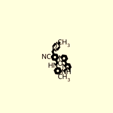 Cc1ccc(NC(=O)c2ccc(CN3CCN(C)CC3)c(C#N)c2)cc1Nc1nccc(-c2cccnc2)n1